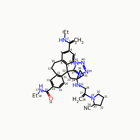 C=C(NCC)c1ccc2c(c1)CCc1cc(C(=O)NCC)ccc1C2(CC1(NCC(=C)N2CCCC2C#N)CC1)c1nnn[nH]1